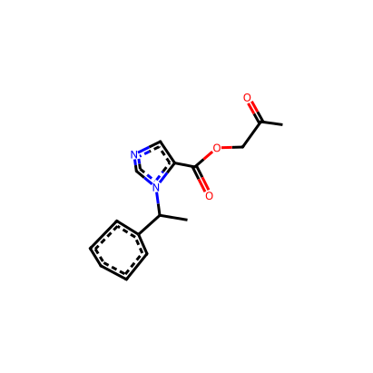 CC(=O)COC(=O)c1cncn1C(C)c1ccccc1